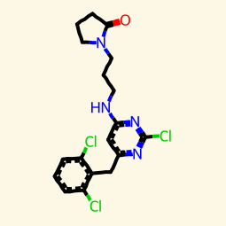 O=C1CCCN1CCCNc1cc(Cc2c(Cl)cccc2Cl)nc(Cl)n1